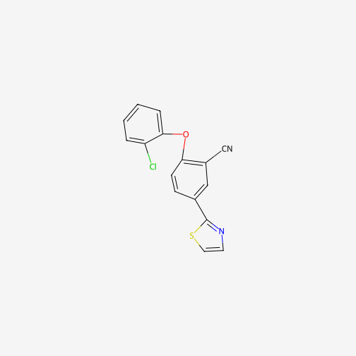 N#Cc1cc(-c2nccs2)ccc1Oc1ccccc1Cl